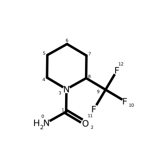 NC(=O)N1CCCCC1C(F)(F)F